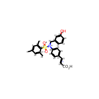 Cc1cc(C)c(S(=O)(=O)N(Cc2cccc(O)c2)c2ccc(/C=C/C(=O)O)cc2)c(C)c1